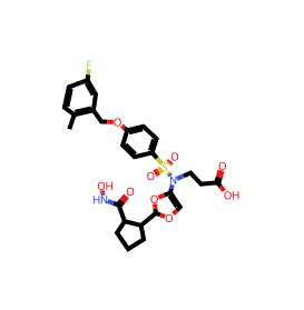 Cc1ccc(F)cc1COc1ccc(S(=O)(=O)N(CCC(=O)O)C2=COC(C3CCCC3C(=O)NO)O2)cc1